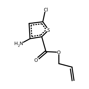 C=CCOC(=O)c1sc(Cl)cc1N